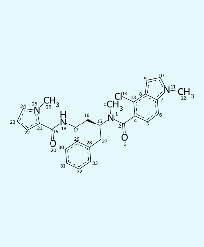 CN(C(=O)c1ccc2c(ccn2C)c1Cl)[C@H](CCNC(=O)c1cccn1C)Cc1ccccc1